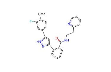 COc1ccc(-c2cc(-c3ccccc3C(=O)NCCc3ccccn3)n[nH]2)cc1F